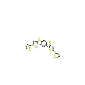 c1csc(-c2cc3sc4cc5sc6cc(-c7cccs7)sc6c5cc4c3s2)c1